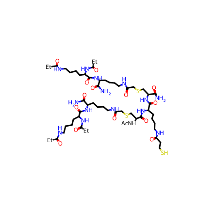 CCC(=O)NCCCCC(NC(=O)CC)C(=O)NC(CCCCNC(=O)CSCC(NC(=O)C(CCCCNC(=O)CCS)NC(=O)C(CSCC(=O)NCCCCC(NC(=O)C(CCCCNC(=O)CC)NC(=O)CC)C(N)=O)NC(C)=O)C(N)=O)C(N)=O